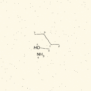 CCCC.CO.N